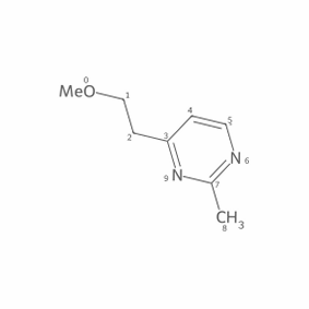 COCCc1c[c]nc(C)n1